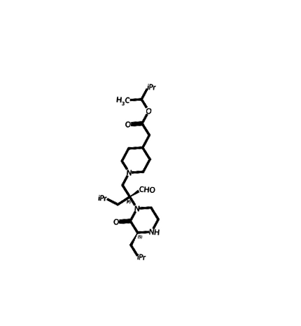 CC(C)C[C@@H]1NCCN([C@](C=O)(CC(C)C)CN2CCC(CC(=O)OC(C)C(C)C)CC2)C1=O